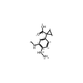 CNc1cc(C2(C(=O)O)CC2)ccc1NN